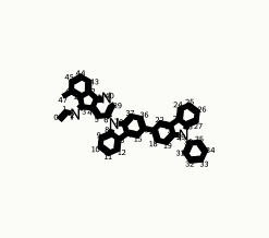 C=C/N=C1/c2cc(-n3c4ccccc4c4cc(-c5ccc6c(c5)c5ccccc5n6-c5ccccc5)ccc43)cnc2-c2cccc(C)c21